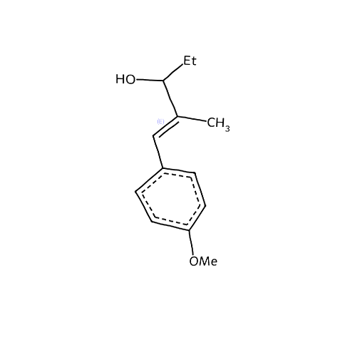 CCC(O)/C(C)=C/c1ccc(OC)cc1